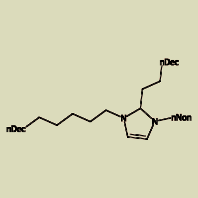 CCCCCCCCCCCCCCCN1C=CN(CCCCCCCCC)C1CCCCCCCCCCCC